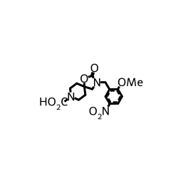 COc1ccc([N+](=O)[O-])cc1CN1CC2(CCN(C(=O)O)CC2)OC1=O